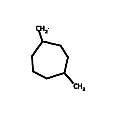 [CH2]C1CCCC(C)CC1